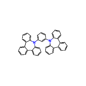 c1cc(N2c3ccccc3-c3ccccc3-c3ccccc32)cc(N2c3ccccc3-c3ccccc3-c3ccccc32)c1